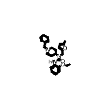 CCOc1ccccc1NC(=O)N(Cc1ccc(C)o1)C1CCN(Cc2ccccc2)CC1